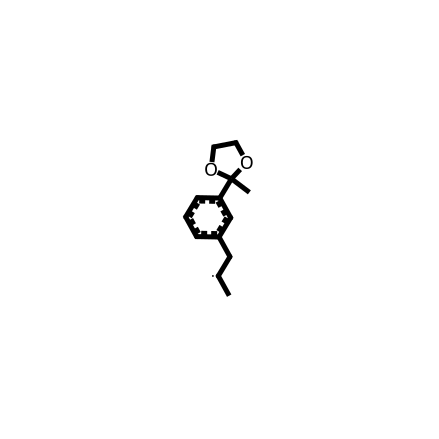 C[CH]Cc1cccc(C2(C)OCCO2)c1